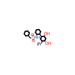 CC(C)c1cc(-c2ccccc2NS(=O)(=O)Cc2ccccc2)c(O)cc1O